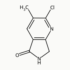 Cc1cc2c(nc1Cl)CNC2=O